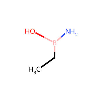 CCB(N)O